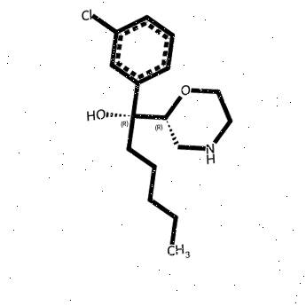 CCCCC[C@@](O)(c1cccc(Cl)c1)[C@H]1CNCCO1